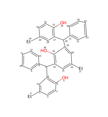 CCc1ccc(O)c(C(c2ccccc2)c2cc(CC)cc(C(c3ccccc3)c3cc(CC)ccc3O)c2O)c1